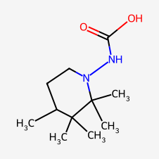 CC1CCN(NC(=O)O)C(C)(C)C1(C)C